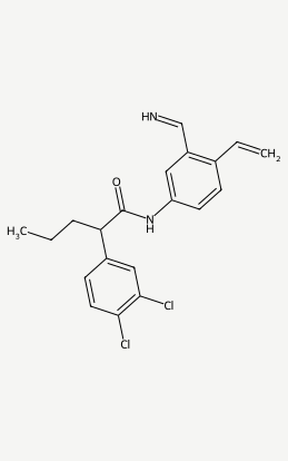 C=Cc1ccc(NC(=O)C(CCC)c2ccc(Cl)c(Cl)c2)cc1C=N